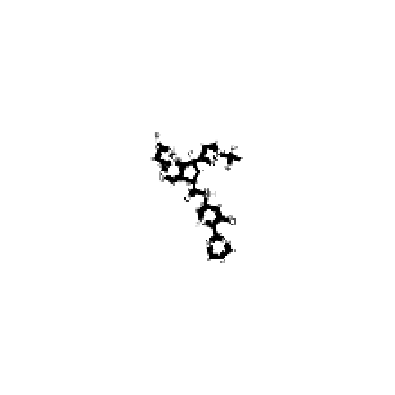 CC(F)(F)n1ccc([C@@]2(C)C[C@@H](C(=O)Nc3cnc(-c4ncccn4)c(Cl)c3)c3cnc4cc(F)nn4c32)n1